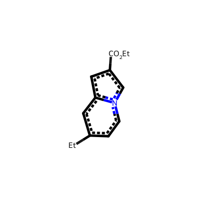 CCOC(=O)c1cc2cc(CC)ccn2c1